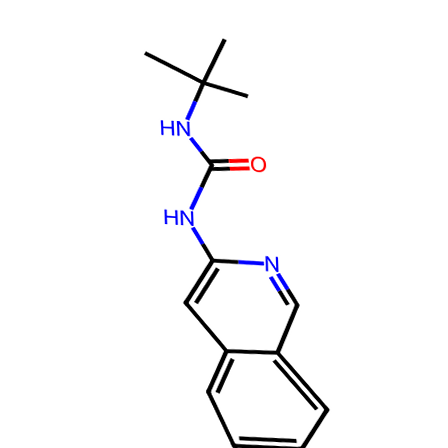 CC(C)(C)NC(=O)Nc1cc2ccccc2cn1